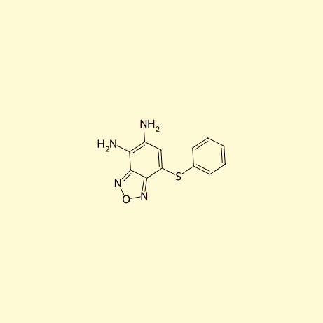 Nc1cc(Sc2ccccc2)c2nonc2c1N